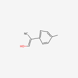 Cc1ccc(C(C#N)=CO)cc1